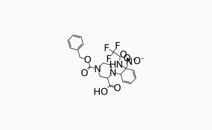 O=C(O)C1CN(C(=O)OCc2ccccc2)CCN1C1C=CC=CC1(NC(=O)C(F)(F)F)[N+](=O)[O-]